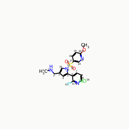 CNCc1cc(-c2cccnc2F)n(S(=O)(=O)c2ccc(OC)nc2)c1.Cl